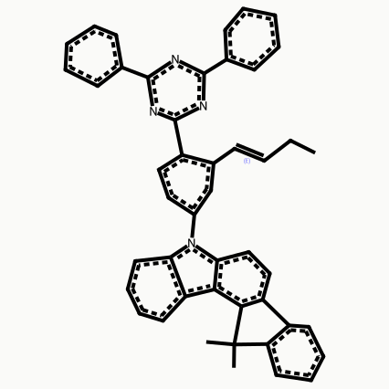 CC/C=C/c1cc(-n2c3ccccc3c3c4c(ccc32)-c2ccccc2C4(C)C)ccc1-c1nc(-c2ccccc2)nc(-c2ccccc2)n1